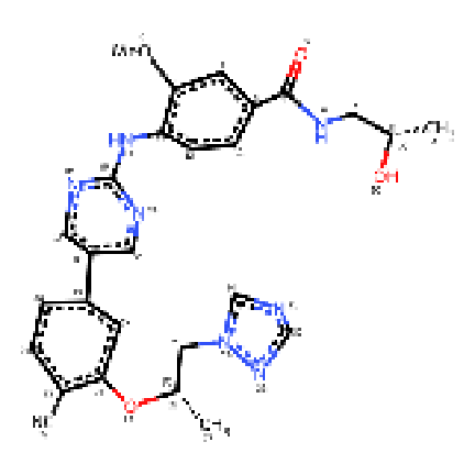 COc1cc(C(=O)NC[C@H](C)O)ccc1Nc1ncc(-c2ccc(C#N)c(O[C@@H](C)Cn3cncn3)c2)cn1